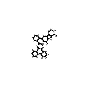 Cc1cc(-c2ccccc2-c2cnc3c4ccccc4c4ccccc4c3n2)cc2c3c(oc12)C(C)CC=C3